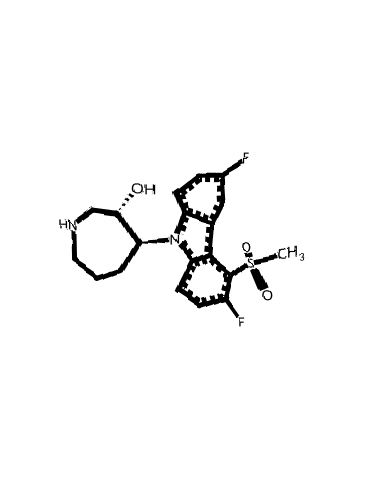 CS(=O)(=O)c1c(F)ccc2c1c1cc(F)ccc1n2[C@H]1CCCNC[C@@H]1O